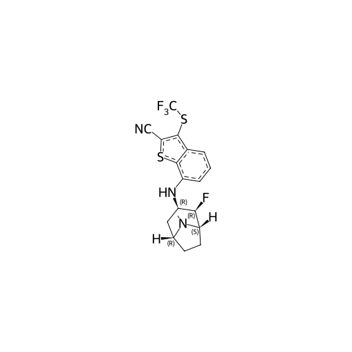 CN1[C@@H]2CC[C@H]1[C@H](F)[C@H](Nc1cccc3c(SC(F)(F)F)c(C#N)sc13)C2